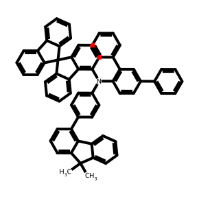 CC1(C)c2ccccc2-c2c(-c3ccc(N(c4ccc(-c5ccccc5)cc4-c4ccccc4)c4cccc5c4-c4ccccc4C54c5ccccc5-c5ccccc54)cc3)cccc21